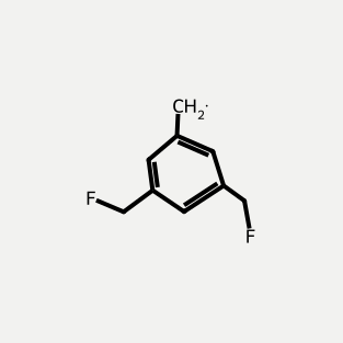 [CH2]c1cc(CF)cc(CF)c1